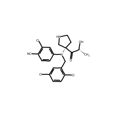 C[C@@H](O)C(=O)[C@]1(N(Cc2cc(Cl)ccc2Cl)c2ccc(C#N)c(Cl)c2)CCNC1